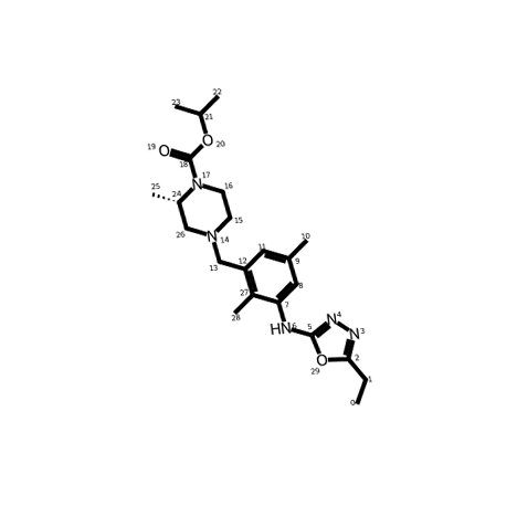 CCc1nnc(Nc2cc(C)cc(CN3CCN(C(=O)OC(C)C)[C@@H](C)C3)c2C)o1